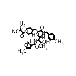 C=C(C#N)C(=O)N1CCC(C[C@H](NC(=O)[C@@H](NC(=O)c2cc(C)on2)[C@@H](C)O)C(=O)NCc2ccc(C)cc2)CC1